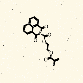 C=C(C)C(=O)OCCOC(=O)N1C(=O)c2cccc3cccc(c23)C1=O